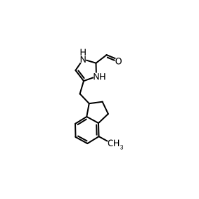 Cc1cccc2c1CCC2CC1=CNC(C=O)N1